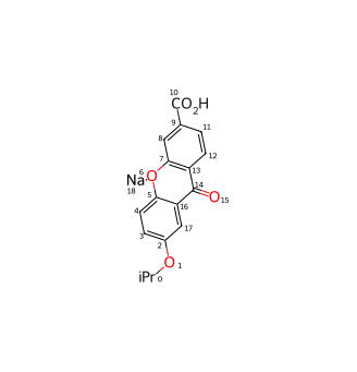 CC(C)Oc1ccc2oc3cc(C(=O)O)ccc3c(=O)c2c1.[Na]